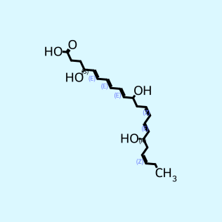 CC/C=C\C[C@@H](O)/C=C/C=C\CC(O)/C=C/C=C/C=C/[C@@H](O)CCC(=O)O